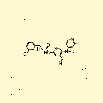 Cc1cc(Nc2cnc(NC(=O)NCc3cccc(Cl)c3)cc2C=N)ccn1